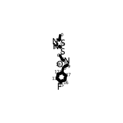 Cc1nnc(SCc2ncc(-c3ccc(F)cc3)o2)s1